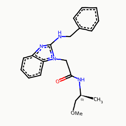 COC[C@H](C)NC(=O)Cn1c(NCc2ccccc2)nc2ccccc21